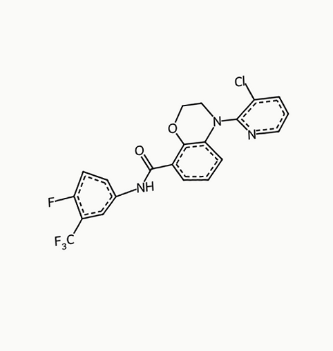 O=C(Nc1ccc(F)c(C(F)(F)F)c1)c1cccc2c1OCCN2c1ncccc1Cl